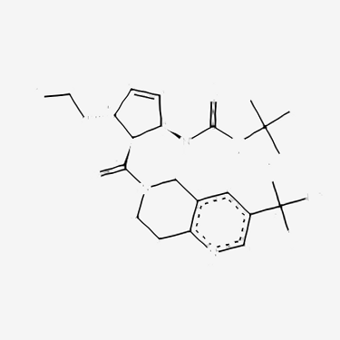 CC(C)(C)OC(=O)N[C@@H]1C=C[C@@H](CCS)[C@@H]1C(=O)N1CCc2ncc(C(F)(F)F)cc2C1